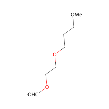 COCCCOCCO[C]=O